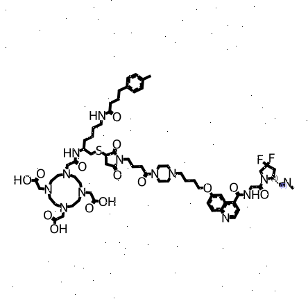 C/N=C/[C@H]1CC(F)(F)CN1C(=O)CNC(=O)c1ccnc2ccc(OCCCCN3CCN(C(=O)CCCN4C(=O)CC(SCC(CCCCNC(=O)CCCc5ccc(C)cc5)NC(=O)CN5CCN(CC(=O)O)CCN(CC(=O)O)CCN(CC(=O)O)CC5)C4=O)CC3)cc12